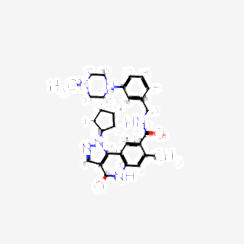 Cc1cc2[nH]c(=O)c3cnn(C4CCCC4)c3c2cc1C(=O)NCc1cccc(N2CCN(C)CC2)c1